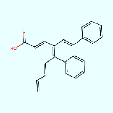 C=CC=CC(=C(C=CC(=O)O)C=Cc1ccccc1)c1ccccc1